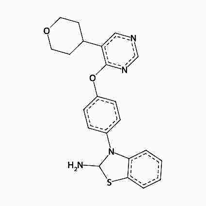 NC1Sc2ccccc2N1c1ccc(Oc2ncncc2C2CCOCC2)cc1